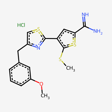 COc1cccc(Cc2csc(-c3cc(C(=N)N)sc3SC)n2)c1.Cl